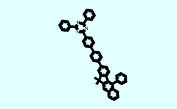 CC1(C)c2cc(-c3ccc(-c4ccc(-c5nc(-c6ccccc6)nc(-c6ccccc6)n5)cc4)cc3)ccc2-c2c1cc1ccccc1c2-c1ccccc1